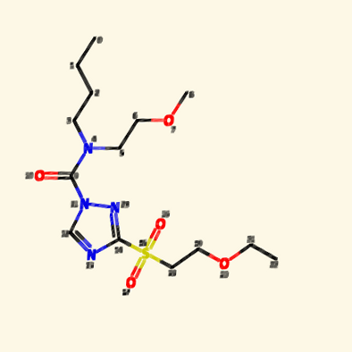 CCCCN(CCOC)C(=O)n1cnc(S(=O)(=O)CCOCC)n1